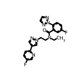 CCN(CCn1cc(-c2ccc(F)cn2)cn1)C(=O)c1cc(F)ccc1-n1nccn1